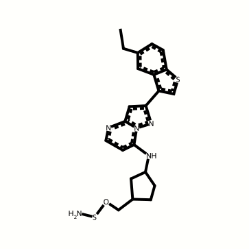 CCc1ccc2scc(-c3cc4nccc(NC5CCC(COSN)C5)n4n3)c2c1